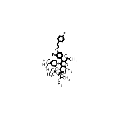 CC(=O)c1nc(C)c([C@H](OC(C)(C)C)C(=O)OC(C)C)c(N2CCC(C)(C)CC2)c1-c1ccc(OCCc2ccc(F)cc2)c(F)c1